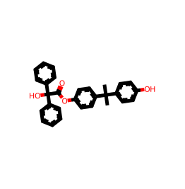 CC(C)(c1ccc(O)cc1)c1ccc(OC(=O)C(O)(c2ccccc2)c2ccccc2)cc1